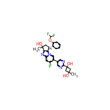 CC1(O)CC(O)(c2ncc(-c3cn4c5c(nc4cc3F)C(C)(O)C[C@@H]5c3ccccc3OC(F)F)cn2)C1